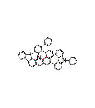 CC1(C)c2ccccc2-c2cccc(N(c3ccc(-c4cccc5c4c4ccccc4n5-c4ccccc4)cc3)c3cccc(-c4ccccc4)c3-c3ccccc3-c3ccccc3)c21